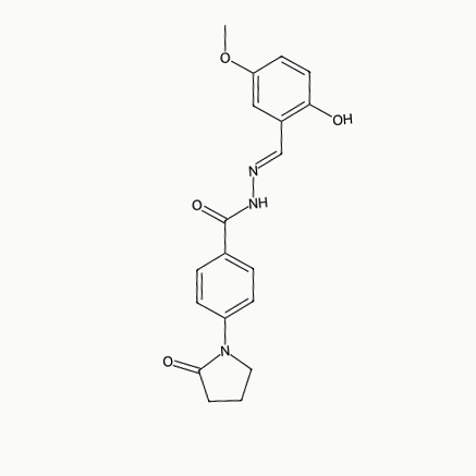 COc1ccc(O)c(C=NNC(=O)c2ccc(N3CCCC3=O)cc2)c1